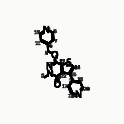 Cn1nc(OCc2ccncc2)c2scc(-c3ccncc3)c2c1=O